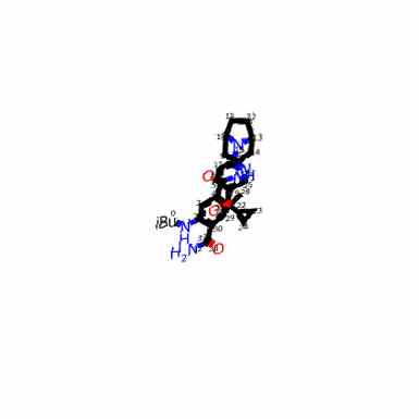 CCC(C)Nc1cc(C(=O)NC2CC3CCC(C2)N3c2ccc(C(=O)C3CC3)cn2)c(C)cc1C(N)=O